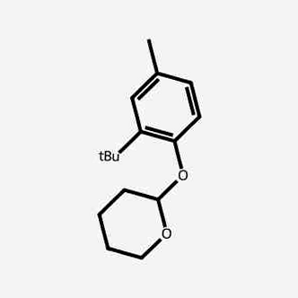 Cc1ccc(OC2CCCCO2)c(C(C)(C)C)c1